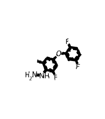 Cc1cc(Oc2cc(F)ccc2F)cc(F)c1NN